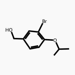 CC(C)Oc1ccc(CO)cc1Br